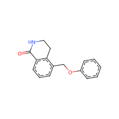 O=C1NCCc2c(COc3ccccc3)cccc21